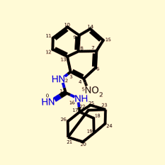 N=C(Nc1c([N+](=O)[O-])cc2c3c(cccc13)C=C2)NC12CC3CC(CC(C3)C1)C2